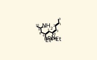 C/C=C/C=C(\C=C(/CCC)CC(C)N)N(CC)CC